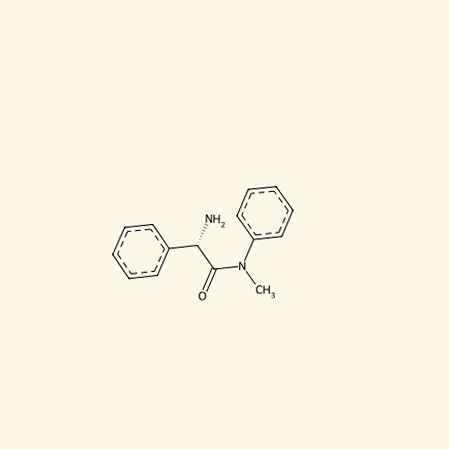 CN(C(=O)[C@@H](N)c1ccccc1)c1ccccc1